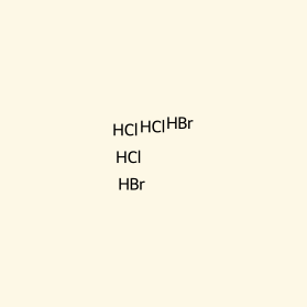 Br.Br.Cl.Cl.Cl